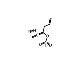 C=C=C(CC=C)O[SH](=O)=O.[NaH]